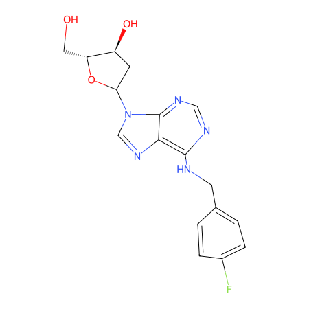 OC[C@H]1OC(n2cnc3c(NCc4ccc(F)cc4)ncnc32)C[C@@H]1O